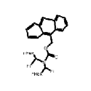 CCCCCCC(CC)N(C(=O)OCc1c2ccccc2cc2ccccc12)C(CC)CCCCCC